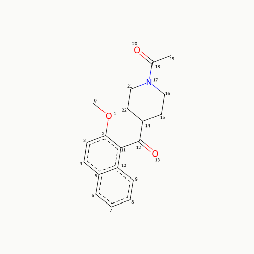 COc1ccc2ccccc2c1C(=O)C1CCN(C(C)=O)CC1